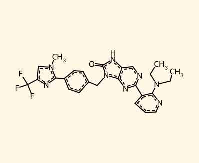 CCN(CC)c1ncccc1-c1ncc2[nH]c(=O)n(Cc3ccc(-c4nc(C(F)(F)F)cn4C)cc3)c2n1